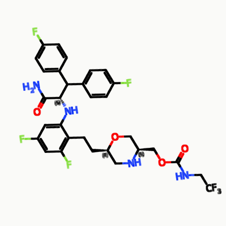 NC(=O)[C@@H](Nc1cc(F)cc(F)c1CC[C@@H]1CN[C@H](COC(=O)NCC(F)(F)F)CO1)C(c1ccc(F)cc1)c1ccc(F)cc1